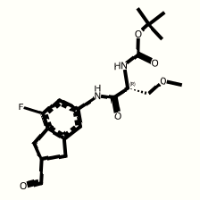 COC[C@@H](NC(=O)OC(C)(C)C)C(=O)Nc1cc(F)c2c(c1)CC(C=O)C2